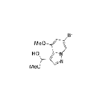 COc1cc(Br)cn2ncc(C(O)OC)c12